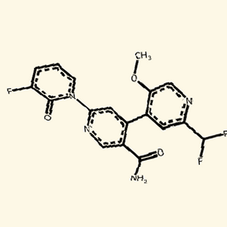 COc1cnc(C(F)F)cc1-c1cc(-n2cccc(F)c2=O)ncc1C(N)=O